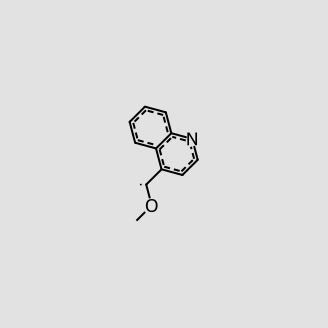 CO[CH]c1ccnc2ccccc12